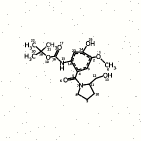 COc1cc(C(=O)N2CCCC2CO)c(NC(=O)OC(C)(C)C)cc1O